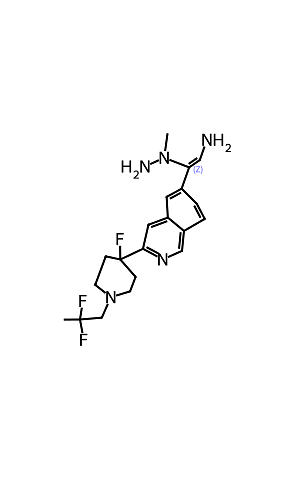 CN(N)/C(=C\N)c1ccc2cnc(C3(F)CCN(CC(C)(F)F)CC3)cc2c1